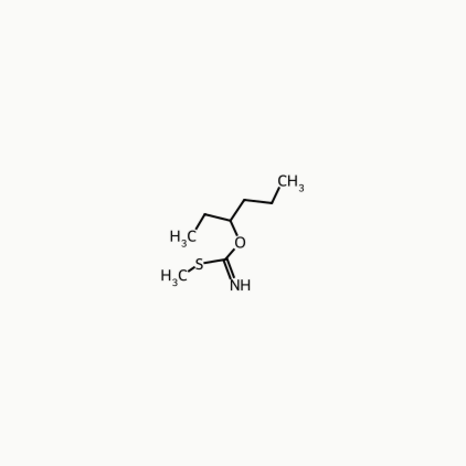 CCCC(CC)OC(=N)SC